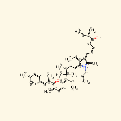 C=CCn1c(=C)c(=C\C=C/CC(=O)C(=C)C=C)/c(=C/C)c/1=C\CC(C)C(C)(C)/C(=C/C=C\C(=C)C(=O)C(=C)/C=C\C=C/C(=C)C)CC